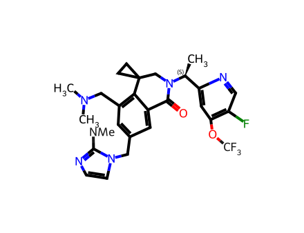 CNc1nccn1Cc1cc(CN(C)C)c2c(c1)C(=O)N([C@@H](C)c1cc(OC(F)(F)F)c(F)cn1)CC21CC1